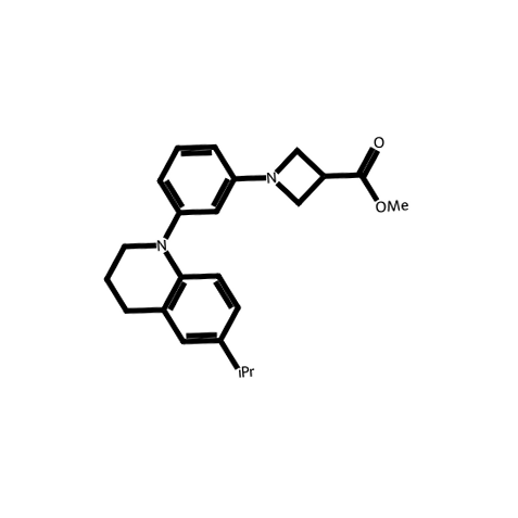 COC(=O)C1CN(c2cccc(N3CCCc4cc(C(C)C)ccc43)c2)C1